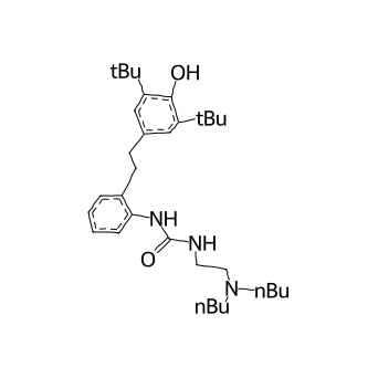 CCCCN(CCCC)CCNC(=O)Nc1ccccc1CCc1cc(C(C)(C)C)c(O)c(C(C)(C)C)c1